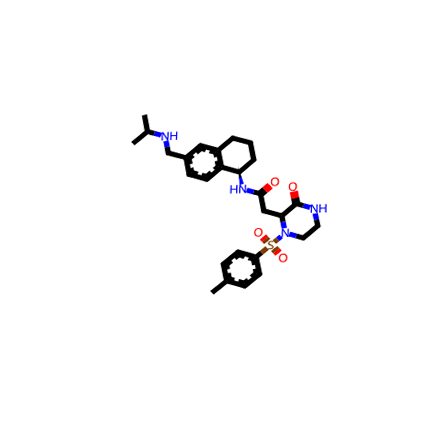 Cc1ccc(S(=O)(=O)N2CCNC(=O)C2CC(=O)N[C@@H]2CCCc3cc(CNC(C)C)ccc32)cc1